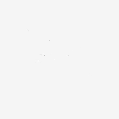 CC(C)(CS(=O)(=O)c1ccc(Oc2ccccc2)cc1)C(OCc1cccnc1)C(=O)NO